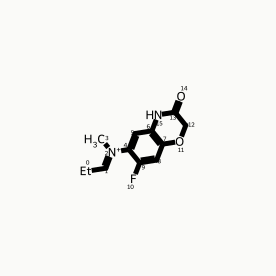 CCC=[N+](C)c1cc2c(cc1F)OCC(=O)N2